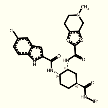 CC(C)NC(=O)[C@H]1CC[C@H](NC(=O)c2cc3cc(Cl)ccc3[nH]2)[C@H](NC(=O)c2nc3c(s2)CN(C)CC3)C1